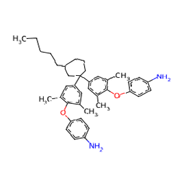 CCCCCC1CCCC(c2cc(C)c(Oc3ccc(N)cc3)c(C)c2)(c2cc(C)c(Oc3ccc(N)cc3)c(C)c2)C1